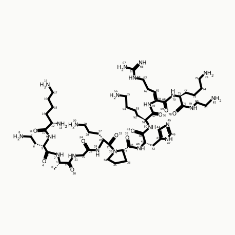 C[C@H](NC(=O)[C@H](CCN)NC(=O)[C@@H](N)CCCCN)C(=O)NCC(=O)N[C@H](CCCN)C(=O)N1CCC[C@H]1C(=O)N[C@@H](Cc1cnc[nH]1)C(=O)N[C@@H](CCCCN)C(=O)N/C(=C\CCNC(=N)N)C(=O)N[C@@H](CCCCN)C(=O)NCCN